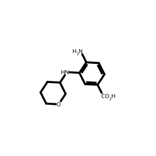 Nc1ccc(C(=O)O)cc1NC1CCCOC1